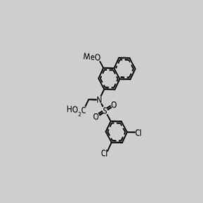 COc1cc(N(CC(=O)O)S(=O)(=O)c2cc(Cl)cc(Cl)c2)cc2ccccc12